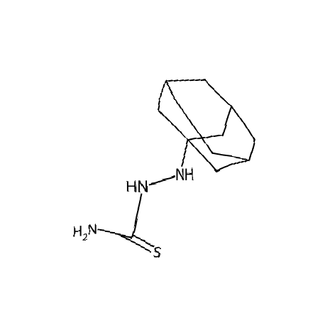 NC(=S)NNC12CC3CC(CC(C3)C1)C2